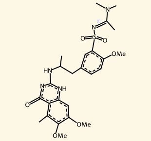 COc1ccc(CC(C)Nc2nc(=O)c3c(C)c(OC)c(OC)cc3[nH]2)cc1S(=O)(=O)/N=C(\C)N(C)C